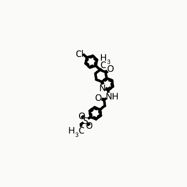 CCS(=O)(=O)c1ccc(CC(=O)Nc2ccc3c(n2)CCC(C)(c2ccc(Cl)cc2)C3=O)cc1